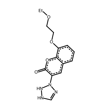 CCOCCOc1cccc2cc(N3N=CNN3)c(=O)oc12